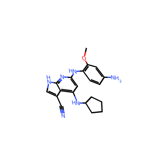 COc1cc(N)ccc1Nc1cc(NC2CCCC2)c2c(C#N)c[nH]c2n1